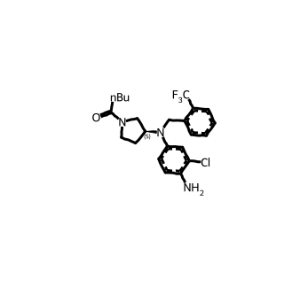 CCCCC(=O)N1CC[C@H](N(Cc2ccccc2C(F)(F)F)c2ccc(N)c(Cl)c2)C1